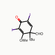 COC1=C(I)C(=O)C(I)=CC1(C=O)C(C)(C)C